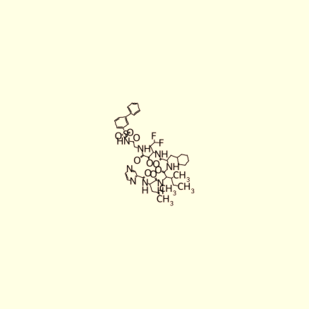 CCC(C)C(NC(=O)C(CC(C)C)NC(=O)c1cnccn1)C(=O)NC(CC1CCCCC1)C(=O)NC(CC(F)F)C(=O)C(=O)NCC(=O)NS(=O)(=O)c1cccc(-c2ccccc2)c1